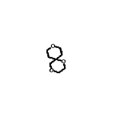 C1CC2(CCO1)COCCO2